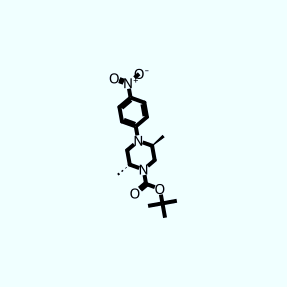 C[C@@H]1CN(c2ccc([N+](=O)[O-])cc2)[C@@H](C)CN1C(=O)OC(C)(C)C